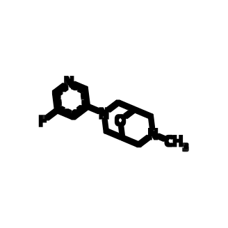 CN1CC2CN(c3cncc(F)c3)CC(C1)O2